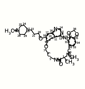 C[C@H]1C(=O)NCCCOc2cc3c(ncnc3cc2OCCCN2CCN(C)CC2)Nc2c(ccc3c2OCO3)CN1C